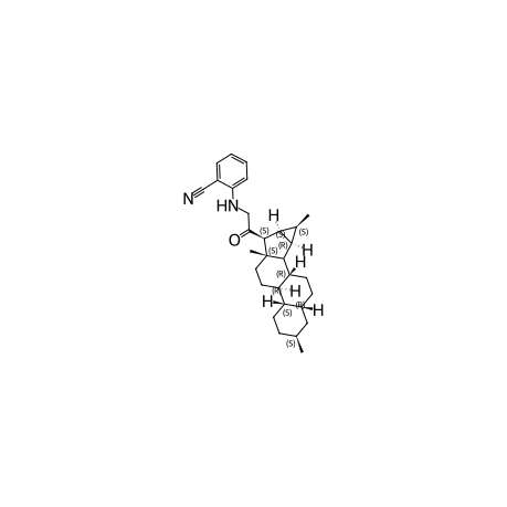 C[C@H]1CC[C@H]2[C@H](CC[C@H]3C4[C@@H]5[C@H](C)[C@@H]5[C@H](C(=O)CNc5ccccc5C#N)[C@@]4(C)CC[C@H]23)C1